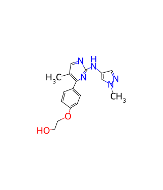 Cc1cnc(Nc2cnn(C)c2)nc1-c1ccc(OCCO)cc1